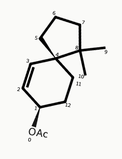 CC(=O)O[C@H]1C=C[C@@]2(CCCC2(C)C)CC1